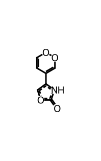 O=c1[nH]c(C2=COOC=C2)co1